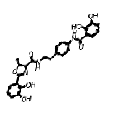 CC1OC(c2cccc(O)c2O)=NC1C(=O)NCCc1ccc(NC(=O)c2cccc(O)c2O)cc1